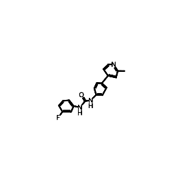 Cc1cc(-c2ccc(NC(=O)Nc3cccc(F)c3)cc2)ccn1